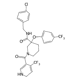 O=C(C1=CNCC=C1C(F)(F)F)N1CCCC(Oc2ccc(C(F)(F)F)cc2)(C(=O)NCc2ccc(Cl)cc2)C1